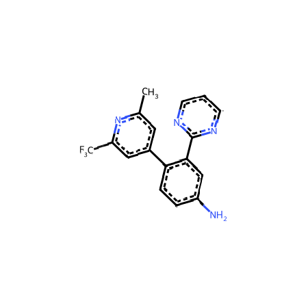 Cc1cc(-c2ccc(N)cc2-c2n[c]ccn2)cc(C(F)(F)F)n1